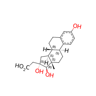 C[C@]12CC[C@@H]3c4ccc(O)cc4CC[C@H]3[C@@H]1C[C@](O)(CC(=O)O)[C@@H]2O